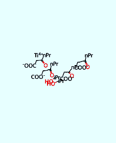 CC(C)O.CC(C)O.CCCC(=O)CC(=O)[O-].CCCC(=O)CC(=O)[O-].CCCC(=O)CC(=O)[O-].CCCC(=O)CC(=O)[O-].[Ti+4]